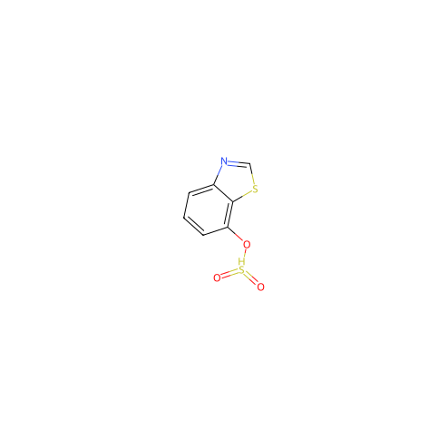 O=[SH](=O)Oc1cccc2ncsc12